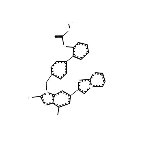 CCCc1nc2c(C)cc(-c3cn4cccnc4n3)cc2n1Cc1ccc(-c2ccccc2OC(=O)OC(C)(C)C)cc1